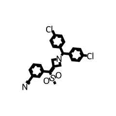 CS(=O)(=O)C(=C1CN(C(c2ccc(Cl)cc2)c2ccc(Cl)cc2)C1)c1cccc(C#N)c1